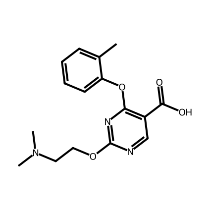 Cc1ccccc1Oc1nc(OCCN(C)C)ncc1C(=O)O